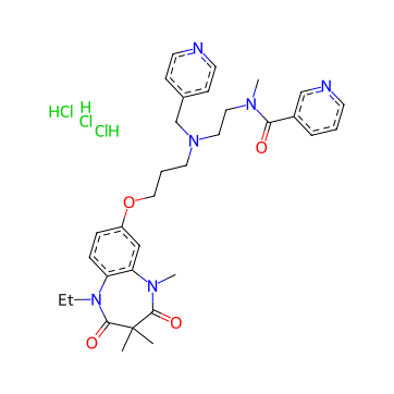 CCN1C(=O)C(C)(C)C(=O)N(C)c2cc(OCCCN(CCN(C)C(=O)c3cccnc3)Cc3ccncc3)ccc21.Cl.Cl.Cl